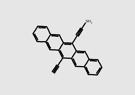 C#Cc1c2cc3ccccc3cc2c(C#C[SiH3])c2cc3ccccc3cc12